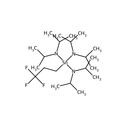 CC(C)[N](C(C)C)[Sn]([CH2]CC(F)(F)F)([N](C(C)C)C(C)C)[N](C(C)C)C(C)C